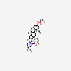 CC(=O)O[C@@H]1CC[C@@]2(C)C(CC[C@@H]3C2CC[C@@]2(C)C3CC3O[C@@]4(CC[C@H](C)CN4C=O)[C@@H](C)C32)C1